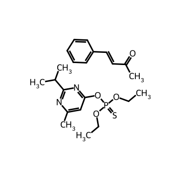 CC(=O)/C=C/c1ccccc1.CCOP(=S)(OCC)Oc1cc(C)nc(C(C)C)n1